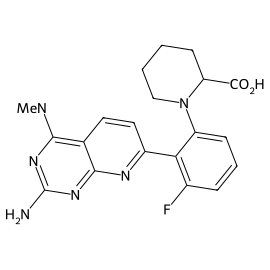 CNc1nc(N)nc2nc(-c3c(F)cccc3N3CCCCC3C(=O)O)ccc12